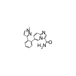 Cn1ccc(-c2ccccc2-c2ccc3ncc(C(N)=O)n3c2)n1